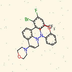 Fc1cc(C(F)(F)F)cc(-c2cccc3c2N(N2CCOc4ccccc42)CC=C3N2CCOCC2)c1Br